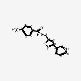 Cc1ccc(C(=O)NCc2cc(-c3cccnc3)no2)cc1